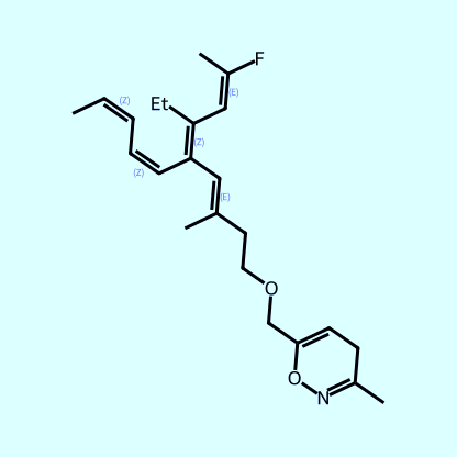 C/C=C\C=C/C(/C=C(\C)CCOCC1=CCC(C)=NO1)=C(/C=C(\C)F)CC